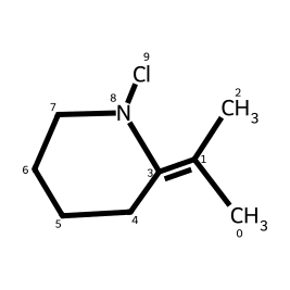 CC(C)=C1CCCCN1Cl